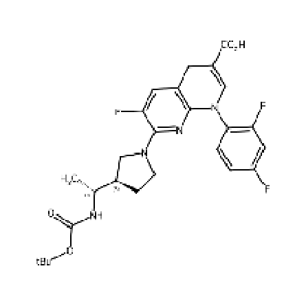 C[C@@H](NC(=O)OC(C)(C)C)[C@@H]1CCN(c2nc3c(cc2F)CC(C(=O)O)=CN3c2ccc(F)cc2F)C1